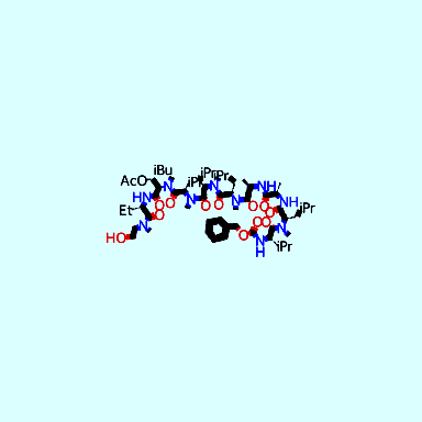 CC[C@H](NC(=O)[C@H]([C@H](OC(C)=O)[C@H](C)CC)N(C)C(=O)[C@H](C(C)C)N(C)C(=O)[C@H](CC(C)C)N(C)C(=O)[C@H](CC(C)C)N(C)C(=O)[C@@H](C)NC(=O)[C@H](C)NC(=O)[C@H](CC(C)C)N(C)C(=O)[C@@H](NC(=O)OCc1ccccc1)C(C)C)C(=O)N(C)CCO